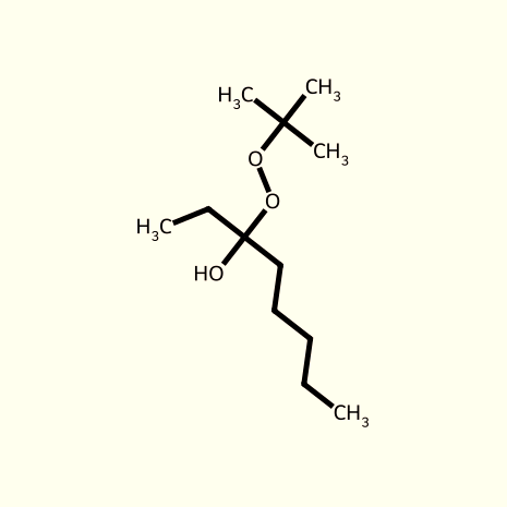 CCCCCC(O)(CC)OOC(C)(C)C